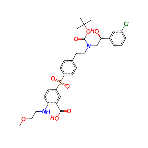 COCCNc1ccc(S(=O)(=O)c2ccc(CCN(C[C@@H](O)c3cccc(Cl)c3)C(=O)OC(C)(C)C)cc2)cc1C(=O)O